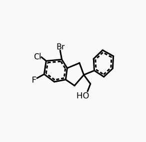 OCC1(c2ccccc2)Cc2cc(F)c(Cl)c(Br)c2C1